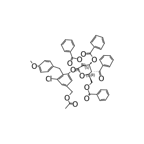 COc1ccc(Cc2c(Cl)cc(COC(C)=O)cc2O[C@H]2O[C@H](COC(=O)c3ccccc3)[C@@H](C(=O)c3ccccc3)[C@H](OC(=O)c3ccccc3)[C@H]2OC(=O)c2ccccc2)cc1